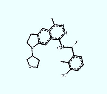 Cc1c(C#N)cccc1[C@@H](C)Nc1nnc(C)c2cc3c(cc12)N(C1CCOC1)CC3